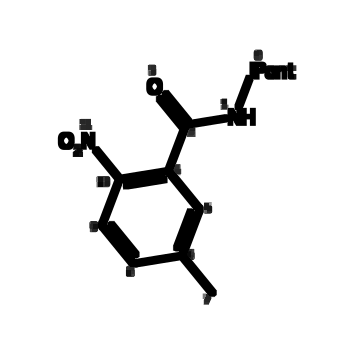 CCCC(C)NC(=O)c1cc(C)ccc1[N+](=O)[O-]